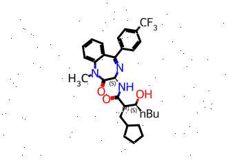 CCCC[C@H](O)[C@@H](CC1CCCC1)C(=O)N[C@H]1N=C(c2ccc(C(F)(F)F)cc2)c2ccccc2N(C)C1=O